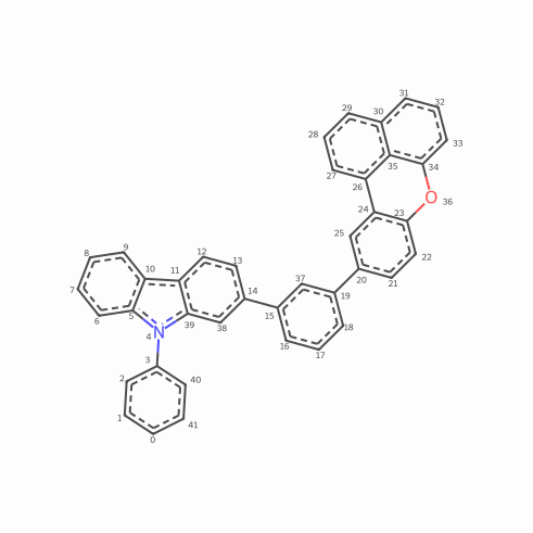 c1ccc(-n2c3ccccc3c3ccc(-c4cccc(-c5ccc6c(c5)-c5cccc7cccc(c57)O6)c4)cc32)cc1